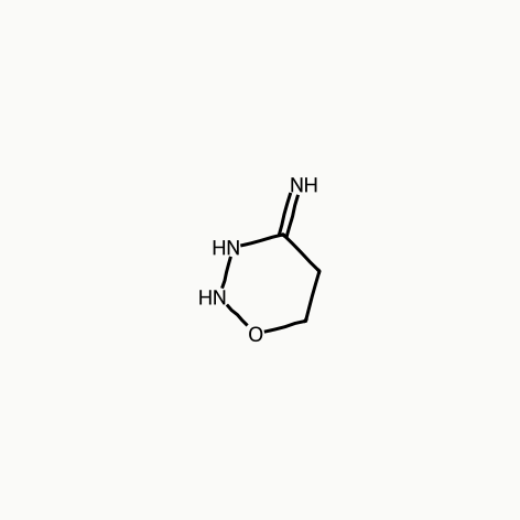 N=C1CCONN1